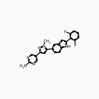 Cn1nc(-c2cnc(N)nc2)cc1-c1ccc2[nH]c(-c3c(F)cccc3F)cc2c1